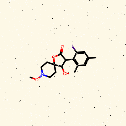 CON1CCC2(CC1)OC(=O)C(c1c(C)cc(C)cc1I)C2O